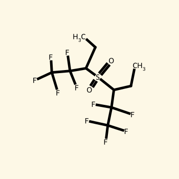 CCC(C(F)(F)C(F)(F)F)S(=O)(=O)C(CC)C(F)(F)C(F)(F)F